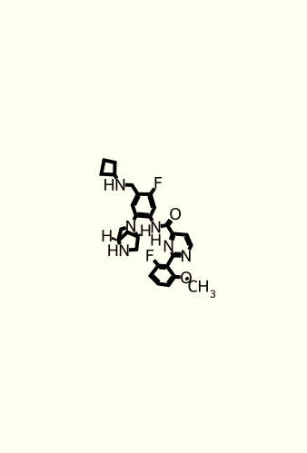 COc1cccc(F)c1-c1nccc(C(=O)Nc2cc(F)c(CNC3CCC3)cc2N2C[C@@H]3C[C@H]2CN3)n1